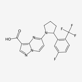 O=C(O)c1cnn2ccc(N3CCCC3c3cc(F)ccc3C(F)(F)F)nc12